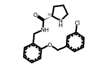 O=C(NCc1ccccc1OCc1cccc(Cl)c1)[C@@H]1CCCN1